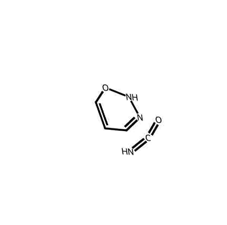 C1=CONN=C1.N=C=O